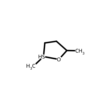 CC1CC[SH](C)O1